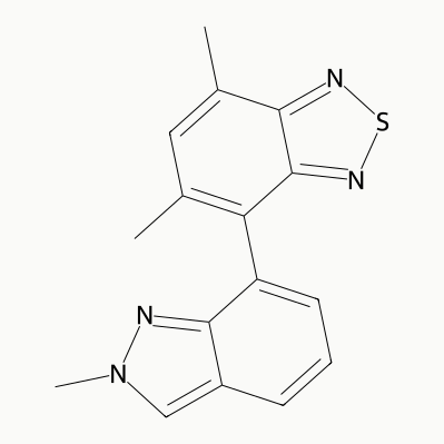 Cc1cc(C)c2nsnc2c1-c1cccc2cn(C)nc12